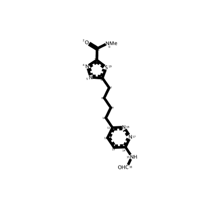 CNC(=O)c1nnc(CCCCc2ccc(NC=O)nn2)s1